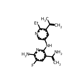 C=C(C)c1cc(Nc2nc(N)c(F)cc2C(=C)N)cnc1CC